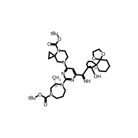 C[C@H]1CN(C(=O)OC(C)(C)C)CCCN1c1nc(C(=N)C2=C(O)[C@]3(CCCCC34OCCO4)CCC2)cc(N2CCN(C(=O)OC(C)(C)C)C3(CC3)C2)n1